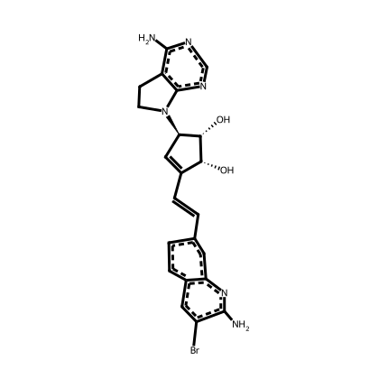 Nc1nc2cc(/C=C/C3=C[C@@H](N4CCc5c(N)ncnc54)[C@H](O)[C@@H]3O)ccc2cc1Br